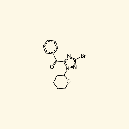 O=C(c1ccccc1)c1nc(Br)nn1C1CCCCO1